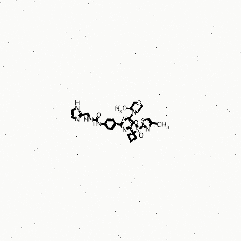 Cc1csc(S(=O)(=O)C2(c3cc(N4CCOC[C@@H]4C)nc(-c4ccc(NC(=O)NCc5ncc[nH]5)cc4)n3)CCC2)n1